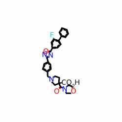 O=C(O)C1(C(=O)N2CCOCC2)CCN(Cc2ccc(-c3noc(-c4ccc(-c5ccccc5)c(F)c4)n3)cc2)CC1